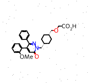 COc1ccccc1-c1cc(=O)n(C[C@H]2CC[C@@H](COCC(=O)O)CC2)nc1-c1ccccc1